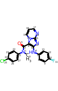 CN(C(=O)c1c(Nc2ccc(F)cc2)nc2ncccn12)c1ccc(Cl)cc1